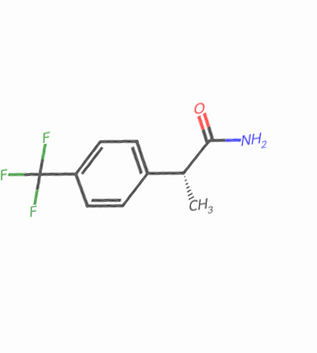 C[C@@H](C(N)=O)c1ccc(C(F)(F)F)cc1